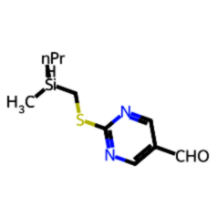 CCC[SiH](C)CSc1ncc(C=O)cn1